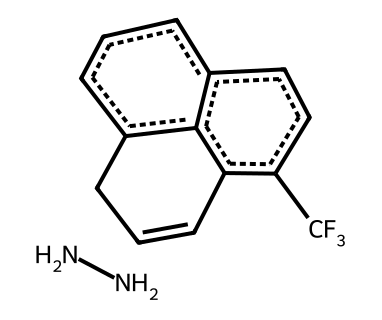 FC(F)(F)c1ccc2cccc3c2c1C=CC3.NN